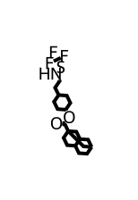 O=C(OC1CCC(CCNSC(F)(F)F)CC1)C12CCC3CCC(CC3C1)C2